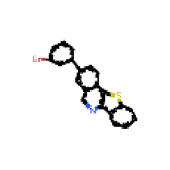 Brc1cccc(-c2ccc3c(cnc4c5ccccc5sc34)c2)c1